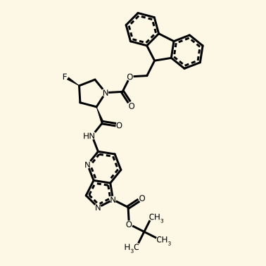 CC(C)(C)OC(=O)n1ncc2nc(NC(=O)[C@H]3C[C@@H](F)CN3C(=O)OCC3c4ccccc4-c4ccccc43)ccc21